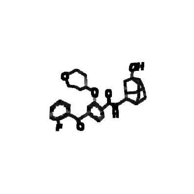 O=C(c1ccc(C(=O)NC2C3CC4CC2CC(O)(C4)C3)c(OC2CCOCC2)c1)c1ccccc1F